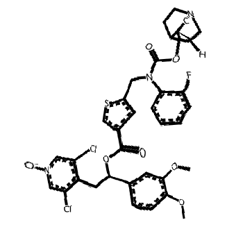 COc1ccc(C(Cc2c(Cl)c[n+]([O-])cc2Cl)OC(=O)c2csc(CN(C(=O)O[C@H]3CN4CCC3CC4)c3ccccc3F)c2)cc1OC